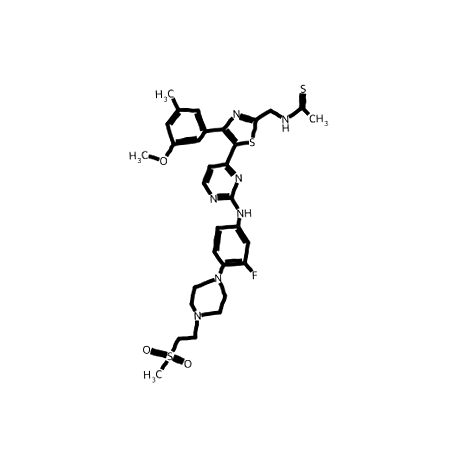 COc1cc(C)cc(-c2nc(CNC(C)=S)sc2-c2ccnc(Nc3ccc(N4CCN(CCS(C)(=O)=O)CC4)c(F)c3)n2)c1